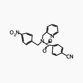 N#Cc1ccc(S(=O)(=O)N(Cc2ccc([N+](=O)[O-])cc2)Cc2ccccn2)cc1